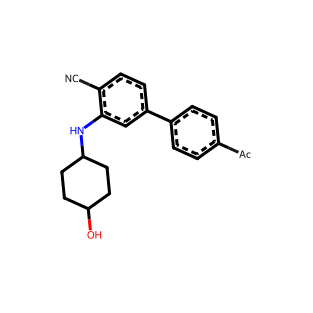 CC(=O)c1ccc(-c2ccc(C#N)c(NC3CCC(O)CC3)c2)cc1